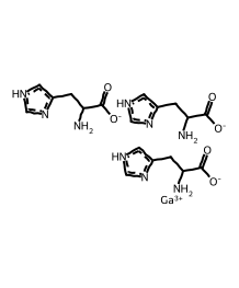 NC(Cc1c[nH]cn1)C(=O)[O-].NC(Cc1c[nH]cn1)C(=O)[O-].NC(Cc1c[nH]cn1)C(=O)[O-].[Ga+3]